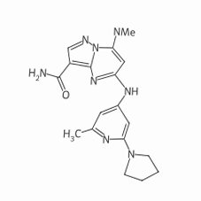 CNc1cc(Nc2cc(C)nc(N3CCCC3)c2)nc2c(C(N)=O)cnn12